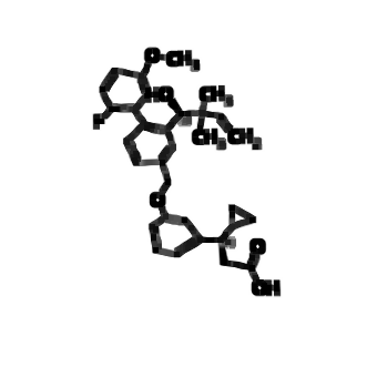 C=CC(C)(C)[C@H](O)c1cc(COc2cccc([C@H](CC(=O)O)C3CC3)c2)ccc1-c1cc(OC)ccc1F